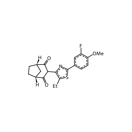 CCc1sc(-c2ccc(OC)c(F)c2)nc1C1C(=O)[C@@H]2CC[C@@H](C2)C1=O